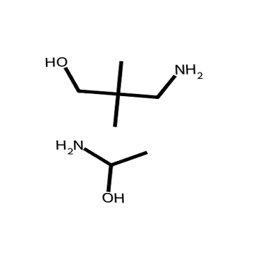 CC(C)(CN)CO.CC(N)O